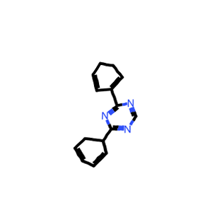 C1=CCC(c2ncnc(C3=CCCC=C3)n2)C=C1